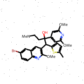 CNCCC(O)(c1cc(OC)nc(OC)c1)C(c1ccc(C)s1)c1cc2cc(Br)ccc2nc1OC